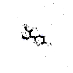 C=CC(=C)C(/C=C\C)=C(C)\C=C/C(=C)C